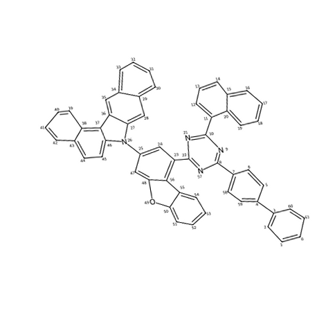 c1ccc(-c2ccc(-c3nc(-c4cccc5ccccc45)nc(-c4cc(-n5c6cc7ccccc7cc6c6c7ccccc7ccc65)cc5oc6ccccc6c45)n3)cc2)cc1